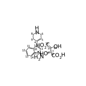 Nn1cc(C2=CCNCC2)c2ccccc21.O=C(O)C(O)C(O)C(=O)O